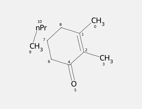 CC1=C(C)C(=O)CCC1.CCCC